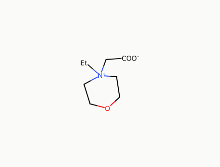 CC[N+]1(CC(=O)[O-])CCOCC1